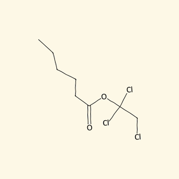 CCCCCC(=O)OC(Cl)(Cl)CCl